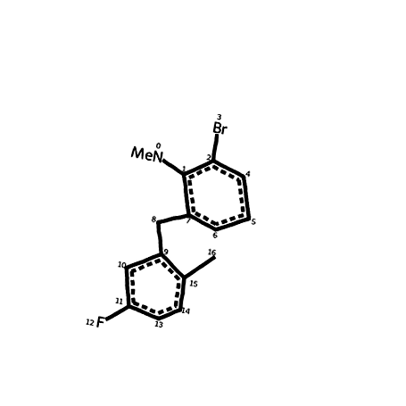 CNc1c(Br)cccc1Cc1cc(F)ccc1C